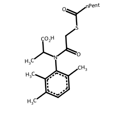 CCCCCC(=O)SCC(=O)N(c1c(C)ccc(C)c1C)C(C)C(=O)O